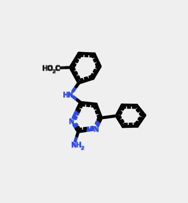 Nc1nc(Nc2ccccc2C(=O)O)cc(-c2ccccc2)n1